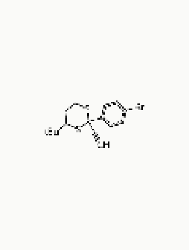 C#CC1(c2ccc(Br)cc2)SCCC(C(C)(C)C)S1